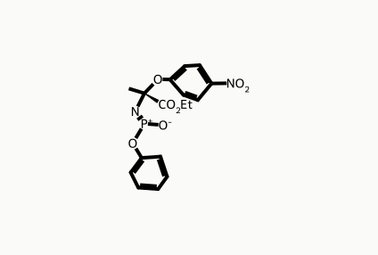 CCOC(=O)[C@](C)(N=[P+]([O-])Oc1ccccc1)Oc1ccc([N+](=O)[O-])cc1